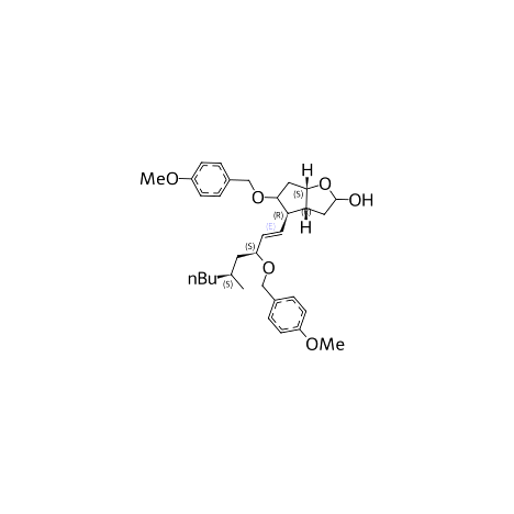 CCCC[C@H](C)C[C@@H](/C=C/[C@H]1C(OCc2ccc(OC)cc2)C[C@@H]2OC(O)C[C@@H]21)OCc1ccc(OC)cc1